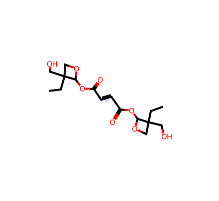 CCC1(CO)COC1OC(=O)/C=C/C(=O)OC1OCC1(CC)CO